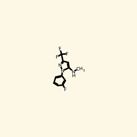 CNc1cc(C(F)(F)F)nn1-c1cccc(F)c1